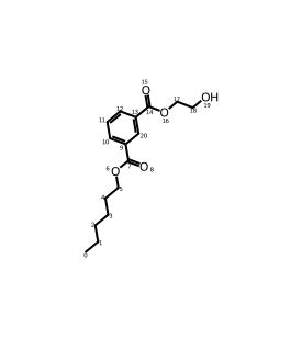 CCCCCCOC(=O)c1cccc(C(=O)OCCO)c1